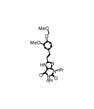 CCCn1c(=O)c2[nH]c(C=Cc3ccc(OCOC)c(OC)c3)nc2n(CCC)c1=O